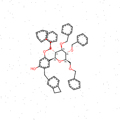 Oc1cc(OCc2ccccc2)c([C@@H]2O[C@H](COCc3ccccc3)[C@@H](OCc3ccccc3)[C@H](OCc3ccccc3)[C@H]2OCc2ccccc2)cc1Cc1ccc2c(c1)CC2